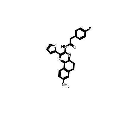 Nc1ccc2c(c1)CCc1nc(NC(=O)Cc3ccc(F)cc3)c(-c3cccs3)nc1-2